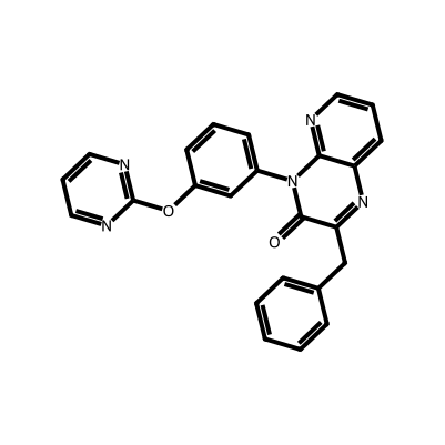 O=c1c(Cc2ccccc2)nc2cccnc2n1-c1cccc(Oc2ncccn2)c1